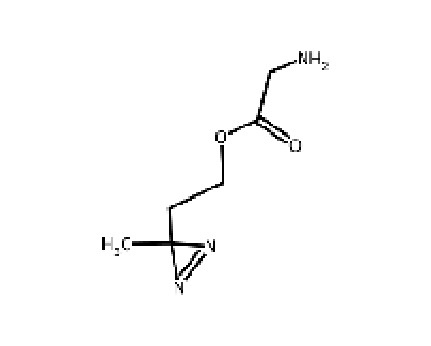 CC1(CCOC(=O)CN)N=N1